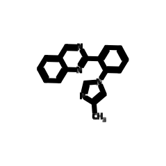 Cc1cn(-c2ccccc2-c2ncc3ccccc3n2)cn1